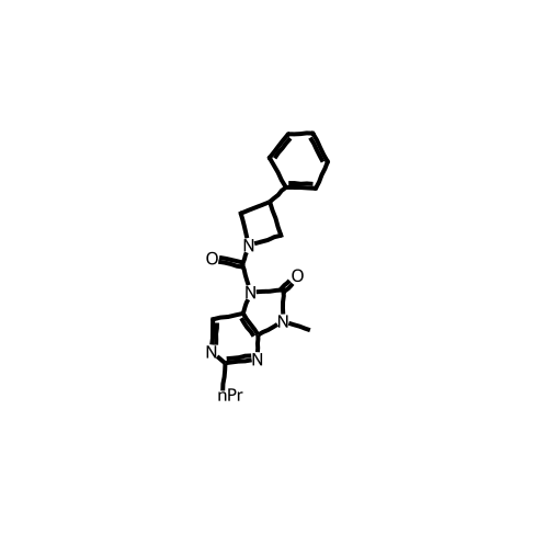 CCCc1ncc2c(n1)n(C)c(=O)n2C(=O)N1CC(c2ccccc2)C1